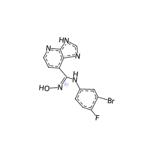 O/N=C(/Nc1ccc(F)c(Br)c1)c1ccnc2[nH]cnc12